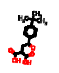 CC(C)(C)c1ccc(C(=O)C=C(C(=O)O)C(=O)O)cc1